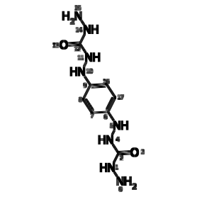 NNC(=O)NNc1ccc(NNC(=O)NN)cc1